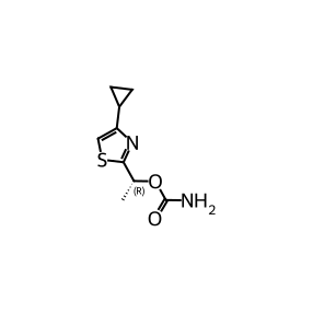 C[C@@H](OC(N)=O)c1nc(C2CC2)cs1